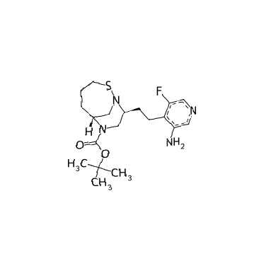 CC(C)(C)OC(=O)N1C[C@H](CCc2c(N)cncc2F)N2C[C@H]1CCCS2